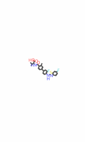 Cc1cc(-c2ccc(Nc3nc4ccc(F)cc4s3)c(F)c2)ccc1C(=O)N[C@H](C(=O)O)C(C)C